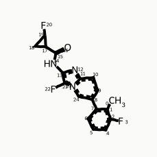 Cc1c(F)cccc1-c1ccc2nc(NC(=O)C3CC3F)c(F)n2c1